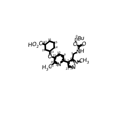 CCCCOC(=O)NCc1c(-c2ccc(OC3CCCC(C(=O)O)C3)c(C)n2)cnn1C